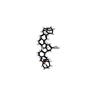 CC(C)(C)c1cc2c3c4cc5c(cc4ccc3n3c4ccc6cc7c(cc6c4c(c1)c23)C1CC2CC(CC7C2)C1)C1CC2CC(C1)CC5C2